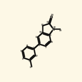 Cc1cccc(-c2ccc3c(c2)CC(=O)N3C)c1